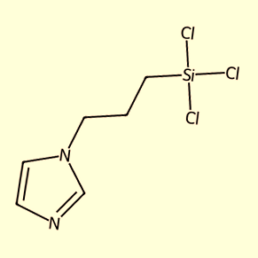 Cl[Si](Cl)(Cl)CCCn1ccnc1